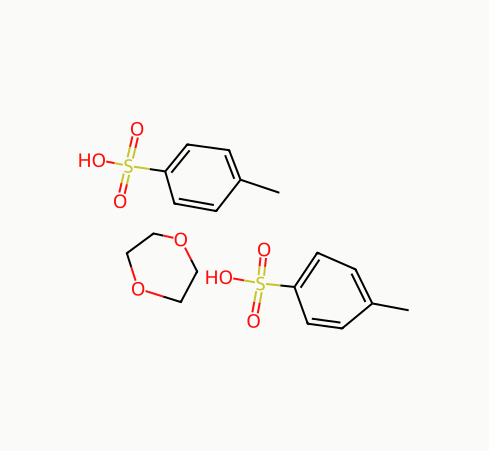 C1COCCO1.Cc1ccc(S(=O)(=O)O)cc1.Cc1ccc(S(=O)(=O)O)cc1